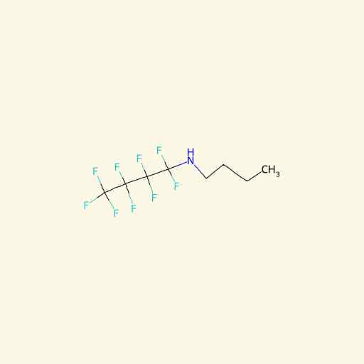 CCCCNC(F)(F)C(F)(F)C(F)(F)C(F)(F)F